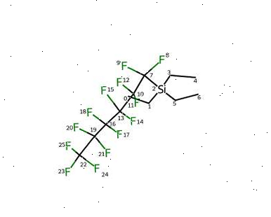 CC[Si](CC)(CC)C(F)(F)C(F)(F)C(F)(F)C(F)(F)C(F)(F)C(F)(F)F